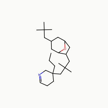 CCCC1(CC(C)(C)CC2CC3CC(CC(C)(C)C)CC2O3)CCC=NC1